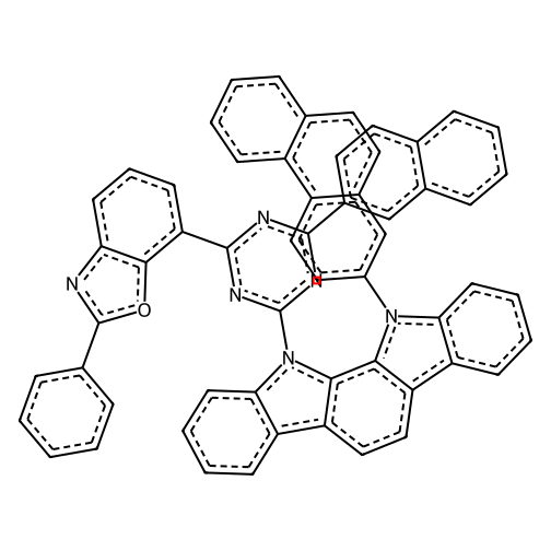 c1ccc(-c2nc3cccc(-c4nc(-c5ccc6ccccc6c5)nc(-n5c6ccccc6c6ccc7c8ccccc8n(-c8ccc9c(ccc%10ccccc%109)c8)c7c65)n4)c3o2)cc1